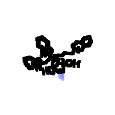 O=C(O)/C=C\C(=O)O.c1ccc2c(c1)CCN(CCCCOC(Cc1cc3ccccn3n1)c1cc3ccccn3n1)C2